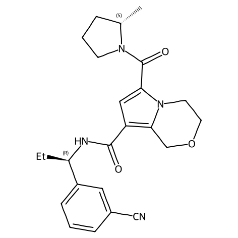 CC[C@@H](NC(=O)c1cc(C(=O)N2CCC[C@@H]2C)n2c1COCC2)c1cccc(C#N)c1